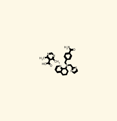 Cc1ncnc(C)c1C(=O)O.NC(=O)c1ccc(CN(Cc2nccs2)C2CCCc3cccnc32)cc1